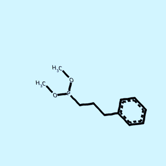 COP(CCCc1ccccc1)OC